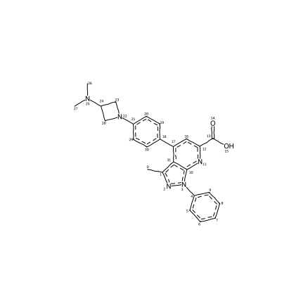 Cc1nn(-c2ccccc2)c2nc(C(=O)O)cc(-c3ccc(N4CC(N(C)C)C4)cc3)c12